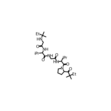 CCC(C)(C)NCC(=O)NC(C(=O)NCC(=O)NC(C(=O)N1CCCC1C(=O)C(C)(C)CC)C(C)C)C(C)C